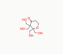 O=C1CCOC(CO)(CO)C1(CO)CO